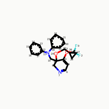 FC(F)OC1=CC=NCC1(CN(c1ccccc1)c1ccccc1)OCC1CC1